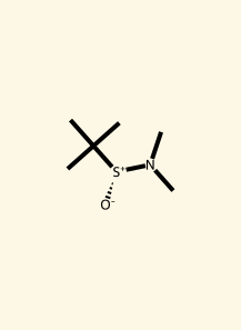 CN(C)[S@+]([O-])C(C)(C)C